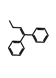 CCC=C(c1ccccc1)c1ccccc1